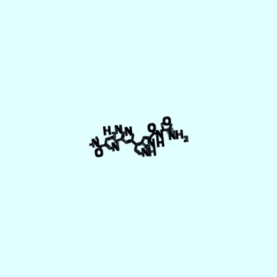 CN(C)C(=O)c1ccc(-c2cc(-c3ccnc4[nH]c(C(=O)NC5COC[C@@H]5N)cc34)cnc2N)nc1